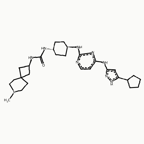 CN1CCC2(CC1)CC(NC(=O)N[C@H]1CC[C@H](Nc3nccc(Nc4cc(C5CCCC5)[nH]n4)n3)CC1)C2